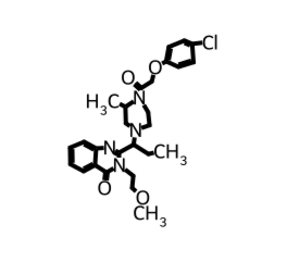 CCC(c1nc2ccccc2c(=O)n1CCOC)N1CCN(C(=O)COc2ccc(Cl)cc2)C(C)C1